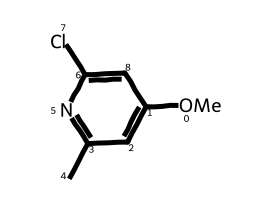 [CH2]Oc1cc(C)nc(Cl)c1